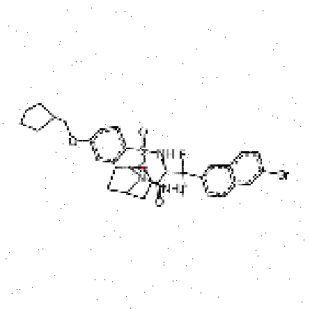 NC1CC2CCC(C1)N2C(=O)[C@@H](NS(=O)(=O)c1ccc(OCC2CCCC2)cc1)C(F)(F)c1ccc2cc(Br)ccc2c1